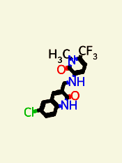 Cn1c(C(F)(F)F)ccc(NCc2cc3cc(Cl)ccc3[nH]c2=O)c1=O